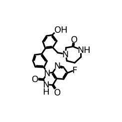 O=C1CN(Cc2cc(O)ccc2-c2cccc(-n3c(=O)[nH]c(=O)c4cc(F)cnc43)c2)CCCN1